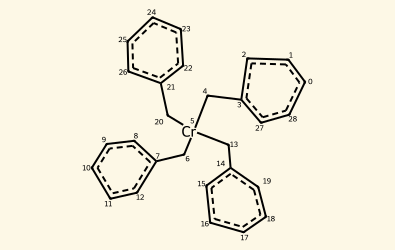 c1ccc([CH2][Cr]([CH2]c2ccccc2)([CH2]c2ccccc2)[CH2]c2ccccc2)cc1